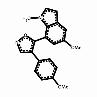 COc1ccc(-c2cnoc2-c2cc(OC)cc3ccn(C)c23)cc1